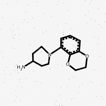 NC1CCN(c2cccc3c2OCCO3)CC1